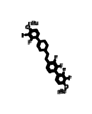 CCCCOc1ccc(C2=CCC(CCc3ccc(-c4ccc(OCCCC)c(F)c4F)c(F)c3F)CC2)c(F)c1F